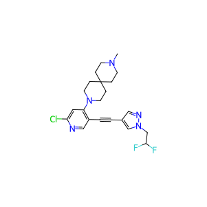 CN1CCC2(CC1)CCN(c1cc(Cl)ncc1C#Cc1cnn(CC(F)F)c1)CC2